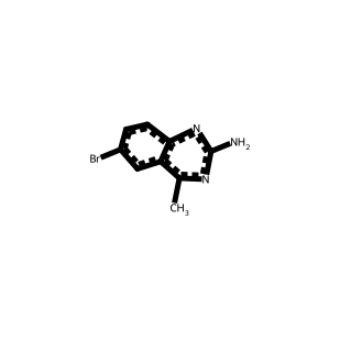 Cc1nc(N)nc2ccc(Br)cc12